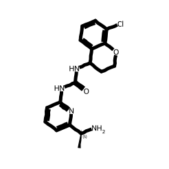 C[C@H](N)c1cccc(NC(=O)NC2CCOc3c(Cl)cccc32)n1